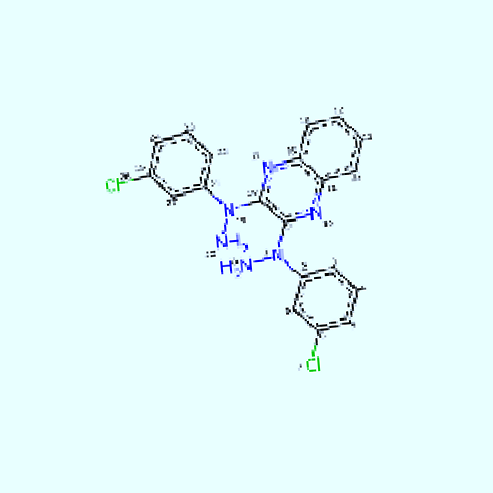 NN(c1cccc(Cl)c1)c1nc2ccccc2nc1N(N)c1cccc(Cl)c1